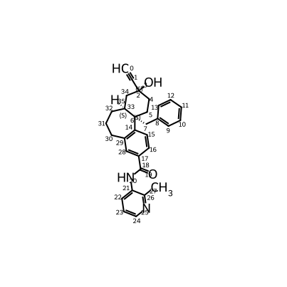 C#C[C@]1(O)CC[C@@]2(Cc3ccccc3)c3ccc(C(=O)Nc4cccnc4C)cc3CCC[C@H]2C1